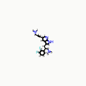 CN(C)CC#Cc1cnc2[nH]cc(CC(CN(C)C)c3cccc(F)c3F)c2c1